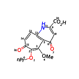 CCCOc1c(OC)c2c(=O)cc(C(=O)O)[nH]c2ccc1=O